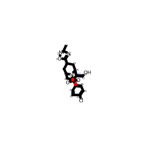 Cc1noc(C2CC3CC(=O)/C(=C/O)C(C2)N3S(=O)(=O)c2ccc(Cl)cc2)n1